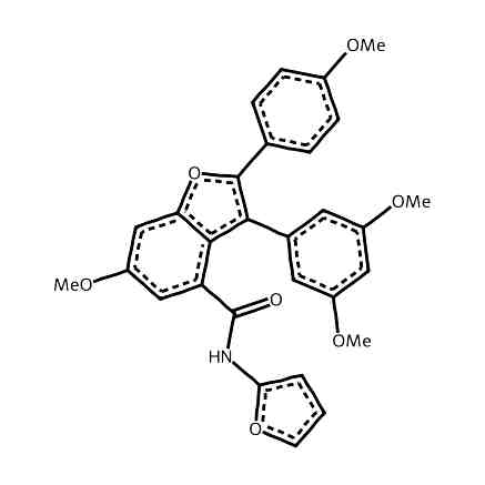 COc1ccc(-c2oc3cc(OC)cc(C(=O)Nc4ccco4)c3c2-c2cc(OC)cc(OC)c2)cc1